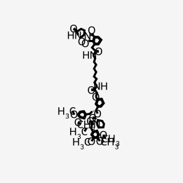 CC[C@H](C(=O)N1CCCC[C@H]1C(=O)O[C@H](CCc1ccc(OC)c(OC)c1)c1cccc(OCC(=O)NCCCCCCCCNC(=O)Cc2cccc3c2C(=O)N(C2CCC(=O)NC2=O)C3=O)c1)c1cc(OC)c(OC)c(OC)c1